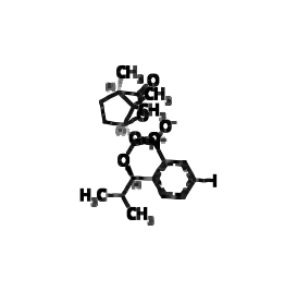 CC(C)[C@@H](OC(=O)[C@@]12CC[C@@](C)(C(=O)O1)C2(C)C)c1ccc(I)cc1[N+](=O)[O-]